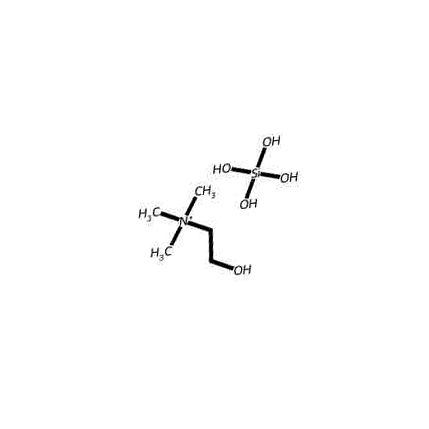 C[N+](C)(C)CCO.O[Si](O)(O)O